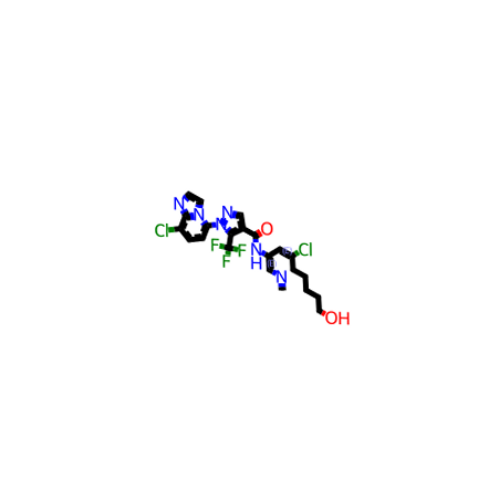 C=N/C=C(\C=C(\Cl)CCCCCO)NC(=O)c1cnn(-c2ccc(Cl)c3nccn23)c1C(F)(F)F